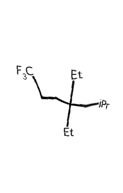 CCC(CC)(CC(F)(F)F)C(C)C